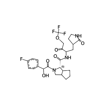 O=C1NCCC1CC(NC(=O)[C@@H]1C2CCCC2CN1C(=O)C(O)c1ccc(F)cc1)C(=O)COC(F)(F)F